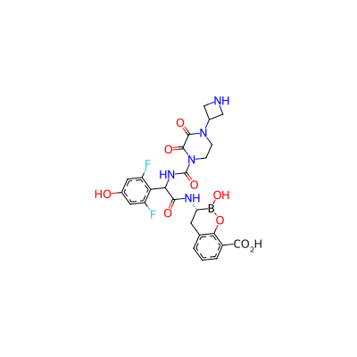 O=C(O)c1cccc2c1OB(O)[C@@H](NC(=O)C(NC(=O)N1CCN(C3CNC3)C(=O)C1=O)c1c(F)cc(O)cc1F)C2